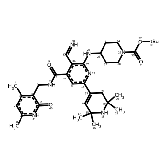 Cc1cc(C)c(CNC(=O)c2cc(C3=CC(C)(C)NC(C)(C)C3)nc(NC3CCN(C(=O)OC(C)(C)C)CC3)c2C=N)c(=O)[nH]1